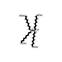 CCCCCCCCCCCCCCCCCCN(CCCCCCCCCCCCCCCCCC)C(=O)O.CCCCCCCCCCCCCCCCCCNCCCCCCCCCCCCCCCCCC